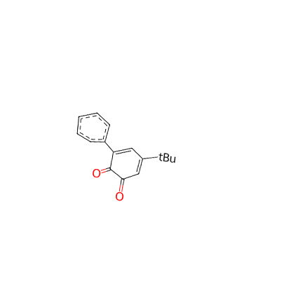 CC(C)(C)C1=CC(=O)C(=O)C(c2ccccc2)=C1